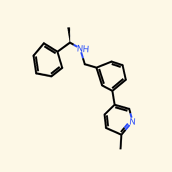 Cc1ccc(-c2cccc(CN[C@H](C)c3ccccc3)c2)cn1